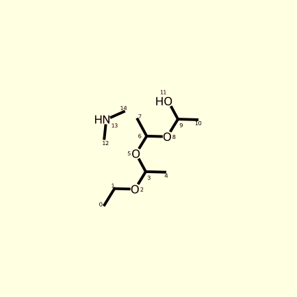 CCOC(C)OC(C)OC(C)O.CNC